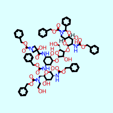 O=C(N[C@H]1[C@@H](O[C@H]2[C@@H](O)[C@H](O[C@@H]3[C@@H](O)[C@H](NC(=O)C4(O)CN(C(=O)OCc5ccccc5)C4)C[C@H](NC(=O)OCc4ccccc4)[C@H]3O[C@H]3O[C@H](CN(CCO)C(=O)OCc4ccccc4)[C@H](O)C[C@H]3NC(=O)OCc3ccccc3)O[C@@H]2CO)O[C@H]2CN(C(=O)OCc3ccccc3)C(c3ccccc3)O[C@H]2[C@@H]1O)OCc1ccccc1